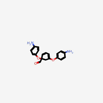 Nc1ccc(OC2=CC=CC(C=O)(Oc3ccc(N)cc3)C2)cc1